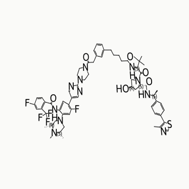 Cc1ncsc1-c1ccc([C@H](C)NC(=O)[C@@H]2C[C@@H](O)CN2C(=O)[C@@H](NC(=O)CCCCc2cccc(CC(=O)N3CCN(c4ncc(-c5cc(NC(=O)c6ccc(F)cc6C(F)(F)F)c(N6C[C@@H](C)N(C)[C@@H](C)C6)cc5F)cn4)CC3)c2)C(C)(C)C)cc1